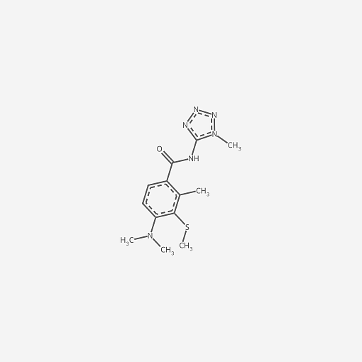 CSc1c(N(C)C)ccc(C(=O)Nc2nnnn2C)c1C